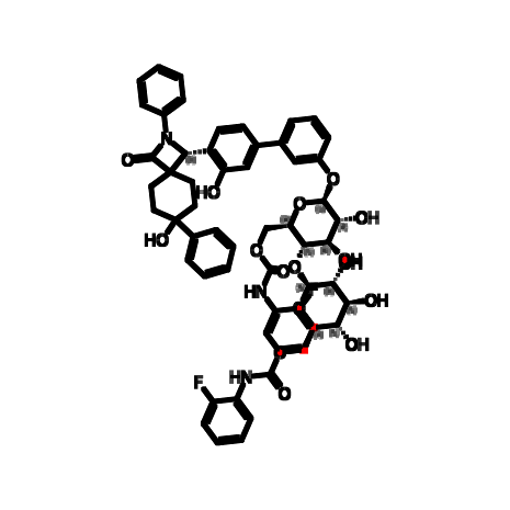 O=C(Nc1ccccc1F)OC[C@H]1O[C@@H](O[C@H]2[C@H](O)[C@@H](O)[C@H](Oc3cccc(-c4ccc([C@H]5N(c6ccccc6)C(=O)C56CCC(O)(c5ccccc5)CC6)c(O)c4)c3)O[C@@H]2COC(=O)Nc2ccccc2F)[C@H](O)[C@@H](O)[C@@H]1O